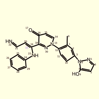 Cc1cc(-n2nccc2O)ccc1-n1ccc(=O)c(/C(=C/C=N)Nc2ccccc2)n1